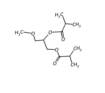 COCC(COC(=O)C(C)C)OC(=O)C(C)C